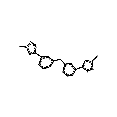 Cn1cc(-c2cccc(Cc3cccc(-c4cn(C)nn4)c3)c2)nn1